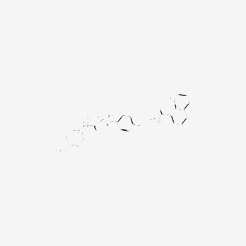 CCC1CCN(NC(=O)NS(=O)(=O)c2ccc(CCNC(=O)c3cc(Cl)cc4cccnc34)cc2)CC1